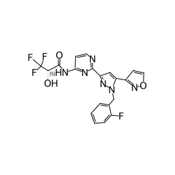 O=C(Nc1ccnc(-c2cc(-c3ccon3)n(Cc3ccccc3F)n2)n1)[C@H](O)C(F)(F)F